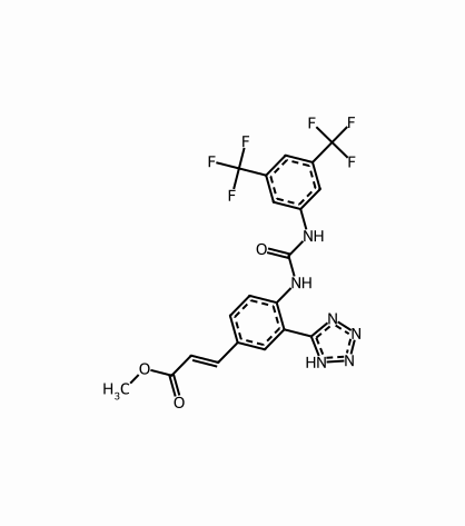 COC(=O)C=Cc1ccc(NC(=O)Nc2cc(C(F)(F)F)cc(C(F)(F)F)c2)c(-c2nnn[nH]2)c1